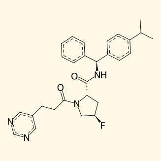 CC(C)c1ccc([C@@H](NC(=O)[C@@H]2C[C@@H](F)CN2C(=O)CCc2cncnc2)c2ccccc2)cc1